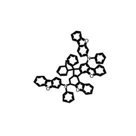 CC1C=CC=CC1C1(c2ccccc2)C2=C(c3c(oc4ccccc34)C(N(c3ccccc3)c3ccc4c(c3)oc3ccccc34)C2)c2c1cc(N(c1ccccc1)c1ccc3c(c1)oc1ccccc13)c1c2oc2ccccc21